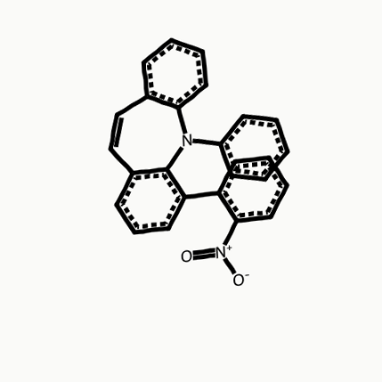 O=[N+]([O-])c1ccccc1-c1cccc2c1N(c1ccccc1)c1ccccc1C=C2